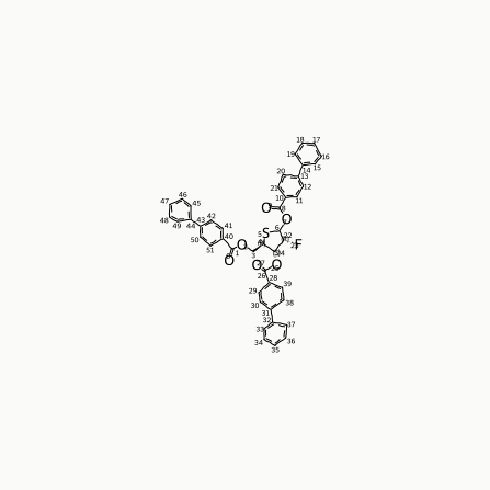 O=C(OC[C@H]1SC(OC(=O)c2ccc(-c3ccccc3)cc2)[C@H](F)[C@@H]1OC(=O)c1ccc(-c2ccccc2)cc1)c1ccc(-c2ccccc2)cc1